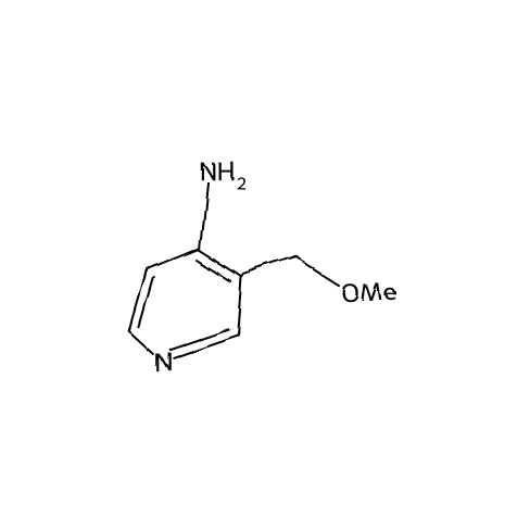 COCc1cnccc1N